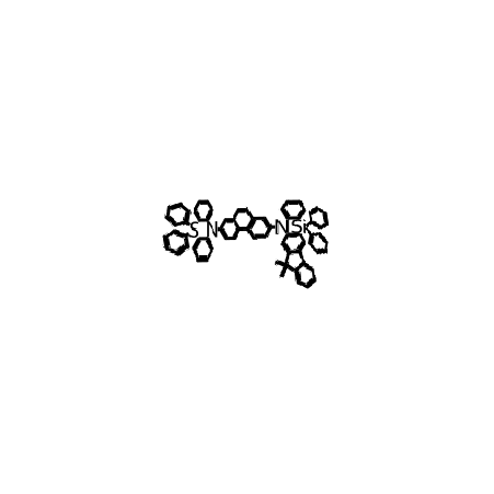 CC1(C)c2ccccc2-c2cc3c(cc21)N(c1ccc2c(ccc4cc(N5c6ccccc6S(c6ccccc6)(c6ccccc6)c6ccccc65)ccc42)c1)c1ccccc1[Si]3(c1ccccc1)c1ccccc1